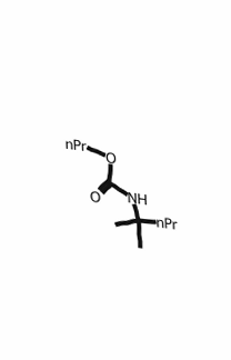 CCCOC(=O)NC(C)(C)CCC